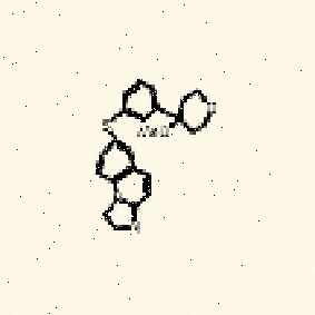 COC1(c2cccc(Sc3ccc4c(c3)C=CC3=NCCN34)c2)CCOCC1